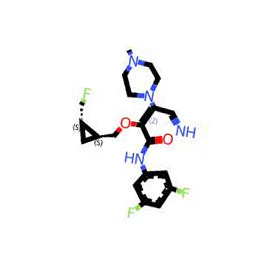 CN1CCN(/C(C=N)=C(\OC[C@H]2C[C@@H]2CF)C(=O)Nc2cc(F)cc(F)c2)CC1